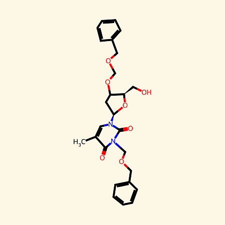 Cc1cn([C@H]2CC(OCOCc3ccccc3)[C@@H](CO)O2)c(=O)n(COCc2ccccc2)c1=O